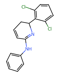 Clc1cccc(Cl)c1C1CC=CC(Nc2ccccc2)=N1